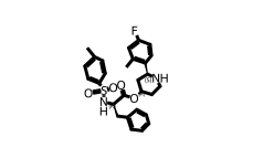 Cc1ccc(S(=O)(=O)N[C@H](Cc2ccccc2)C(=O)O[C@@H]2CCN[C@H](c3ccc(F)cc3C)C2)cc1